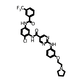 O=C(Nc1ccc(Cl)c(NC(=O)c2cnc(Nc3cccc(OCCN4CCCC4)c3)nc2)c1)c1cccc(C(F)(F)F)c1